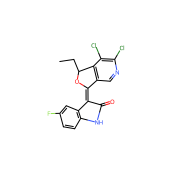 CCC1O/C(=C2/C(=O)Nc3ccc(F)cc32)c2cnc(Cl)c(Cl)c21